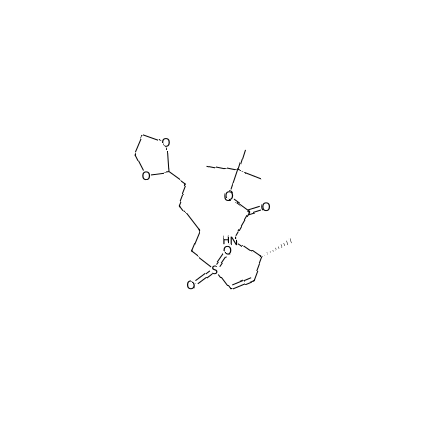 C[C@H](/C=C\S(=O)(=O)CCCCC1OCCO1)NC(=O)OC(C)(C)C